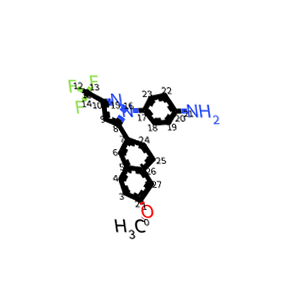 COc1ccc2cc(-c3cc(C(F)(F)F)nn3-c3ccc(N)cc3)ccc2c1